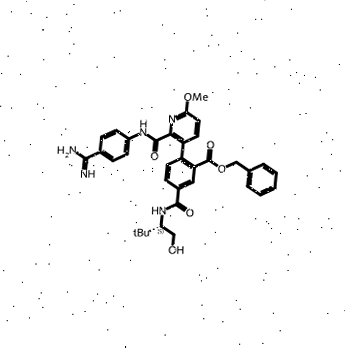 COc1ccc(-c2ccc(C(=O)N[C@H](CO)C(C)(C)C)cc2C(=O)OCc2ccccc2)c(C(=O)Nc2ccc(C(=N)N)cc2)n1